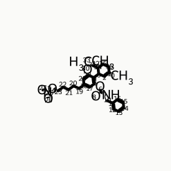 CC1=CC2c3c(OC(=O)NCc4ccccc4)cc(CCCCCO[N+](=O)[O-])cc3OC(C)(C)C2CC1